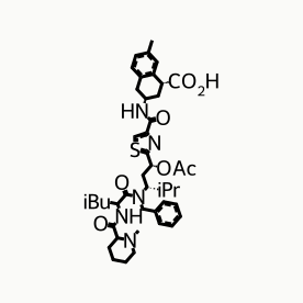 CCC(C)C(NC(=O)C1CCCCN1C)C(=O)N(Cc1ccccc1)[C@H](C[C@@H](OC(C)=O)c1nc(C(=O)N[C@H]2Cc3ccc(C)cc3[C@H](C(=O)O)C2)cs1)C(C)C